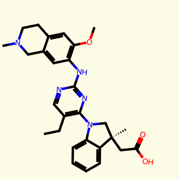 CCc1cnc(Nc2cc3c(cc2OC)CCN(C)C3)nc1N1C[C@@](C)(CC(=O)O)c2ccccc21